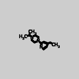 CCc1ccnc(N2CCN(C(C)C)CC2)c1